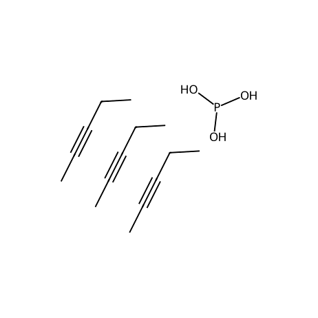 CC#CCC.CC#CCC.CC#CCC.OP(O)O